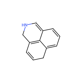 [C]1=c2cccc3c2=C(C=CC3)CN1